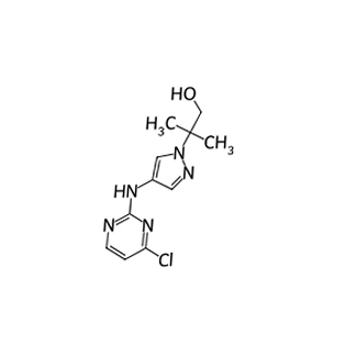 CC(C)(CO)n1cc(Nc2nccc(Cl)n2)cn1